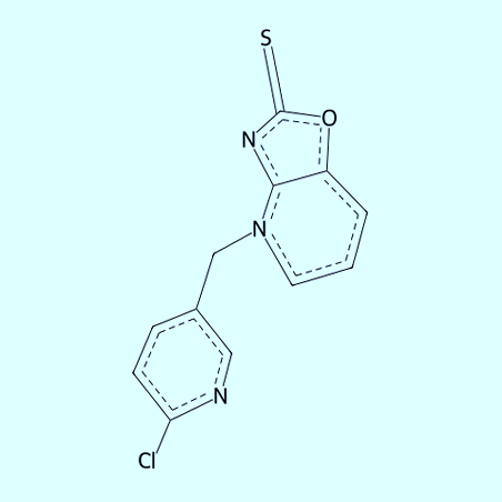 S=c1nc2n(Cc3ccc(Cl)nc3)cccc-2o1